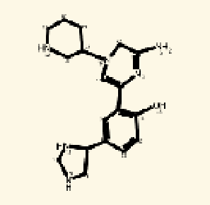 NC1=NC(c2cc(C3CNCN3)ccc2O)=CN(C2CCCNC2)C1